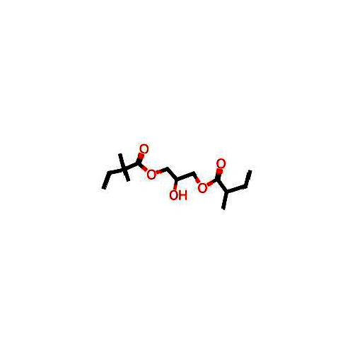 CCC(C)C(=O)OCC(O)COC(=O)C(C)(C)CC